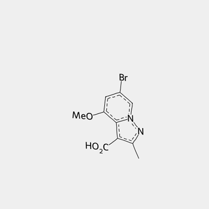 COc1cc(Br)cn2nc(C)c(C(=O)O)c12